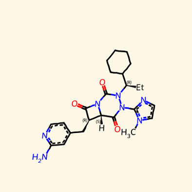 CC[C@H](C1CCCCC1)N1C(=O)N2C(=O)[C@H](Cc3ccnc(N)c3)[C@H]2C(=O)N1c1nccn1C